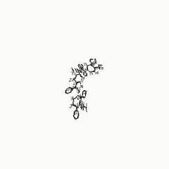 O=C1CCC(N2Cc3cc(NS(=O)(=O)c4ccc(F)c(Cl)c4)ccc3C2=O)C(=O)N1